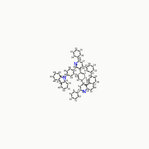 C1=CCC(c2cc(-c3ccccc3)nc3ccc4ccc(-c5cccc(-c6cc(-c7ccccc7)nc(-c7ccc(-n8c9ccccc9c9ccccc98)cc7)c6)c5)cc4c23)C=C1